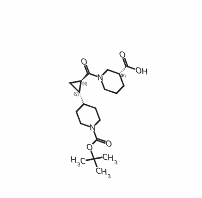 CC(C)(C)OC(=O)N1CCC([C@@H]2C[C@H]2C(=O)N2CCC[C@@H](C(=O)O)C2)CC1